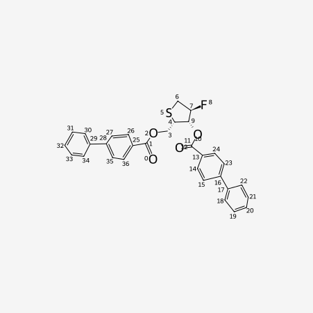 O=C(OC[C@@H]1SC[C@@H](F)[C@@H]1OC(=O)c1ccc(-c2ccccc2)cc1)c1ccc(-c2ccccc2)cc1